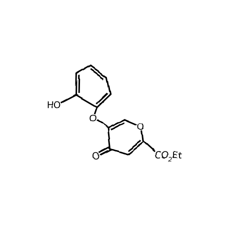 CCOC(=O)c1cc(=O)c(Oc2ccccc2O)co1